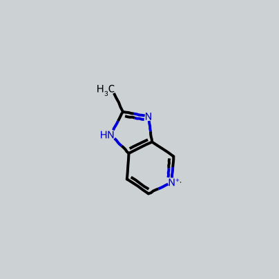 Cc1nc2c([nH]1)C=C[N+]=C2